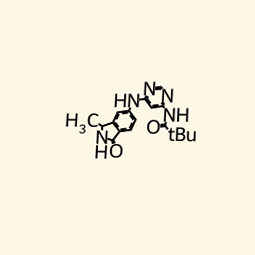 CC1NC(=O)c2ccc(Nc3cc(NC(=O)C(C)(C)C)ncn3)cc21